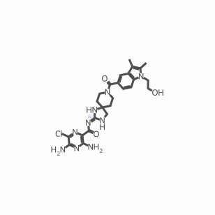 Cc1c(C)n(CCO)c2ccc(C(=O)N3CCC4(CC3)CN/C(=N\C(=O)c3nc(Cl)c(N)nc3N)N4)cc12